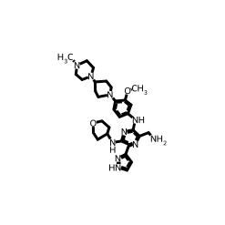 COc1cc(Nc2nc(NC3CCOCC3)c(-c3cc[nH]n3)nc2CN)ccc1N1CCC(N2CCN(C)CC2)CC1